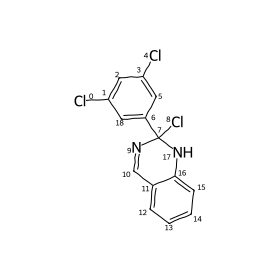 Clc1cc(Cl)cc(C2(Cl)N=Cc3ccccc3N2)c1